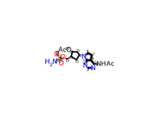 CC(=O)Nc1ncnc2c1ccn2[C@@H]1C[C@@H](COS(N)(=O)=O)[C@@H](OC(C)=O)C1